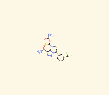 NC(=O)OC(=S)N1CC=C(c2cccc(C(F)(F)F)c2)n2ncc(C(N)=O)c21